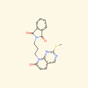 CSc1ncc2ccc(=O)n(CCCN3C(=O)c4ccccc4C3=O)c2n1